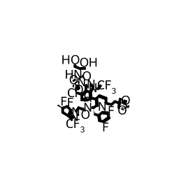 C[C@@H]1Cc2c(C(F)(F)F)nn(CC(=O)N[C@@H](Cc3cc(F)cc(F)c3)c3nc(CCC(C)(C)S(C)(=O)=O)ccc3-c3ccc(Cl)c4c(N(C(=O)NC(CO)CO)S(C)(=O)=O)nn(CC(F)(F)F)c34)c2C1(F)F